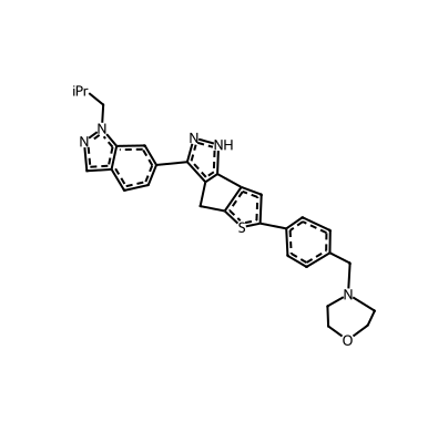 CC(C)Cn1ncc2ccc(-c3n[nH]c4c3Cc3sc(-c5ccc(CN6CCOCC6)cc5)cc3-4)cc21